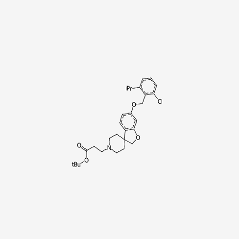 CC(C)c1cccc(Cl)c1COc1ccc2c(c1)OCC21CCN(CCC(=O)OC(C)(C)C)CC1